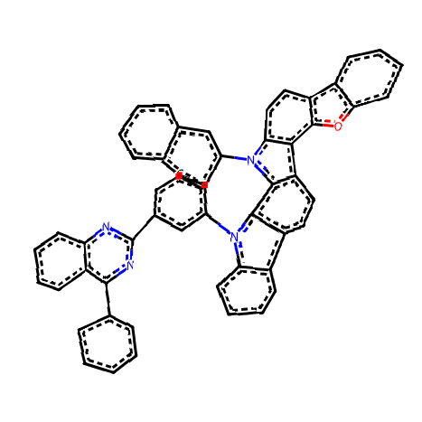 c1ccc(-c2nc(-c3cccc(-n4c5ccccc5c5ccc6c7c8oc9ccccc9c8ccc7n(-c7ccc8ccccc8c7)c6c54)c3)nc3ccccc23)cc1